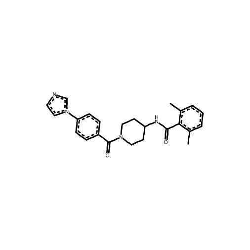 Cc1cccc(C)c1C(=O)NC1CCN(C(=O)c2ccc(-n3ccnc3)cc2)CC1